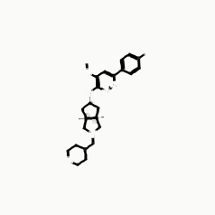 COc1cc(-c2ccc(F)cc2)nnc1N[C@H]1C[C@@H]2CN(CC3CCOCC3)C[C@@H]2C1